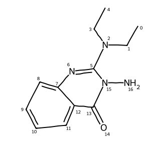 CCN(CC)c1nc2ccccc2c(=O)n1N